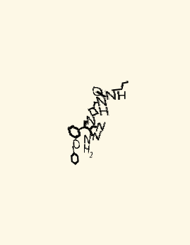 CCCCNC(=O)NCC1CC(n2cc(-c3cccc(OCc4ccccc4)c3)c3c(N)ncnc32)C1